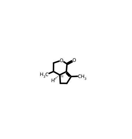 CC1=C2C(=O)OCC(C)[C@@H]2CC1